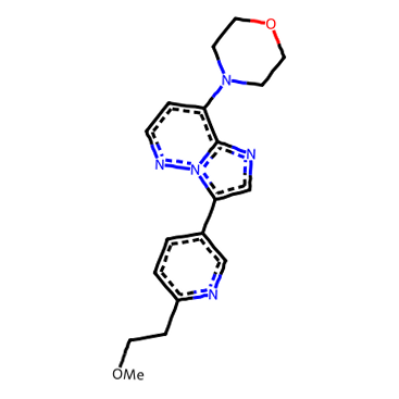 COCCc1ccc(-c2cnc3c(N4CCOCC4)ccnn23)cn1